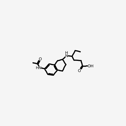 CCC(CCC(=O)O)NC1CCc2ccc(NC(C)=O)cc2C1